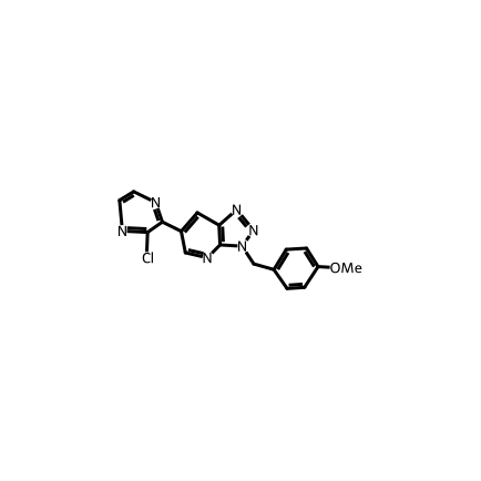 COc1ccc(Cn2nnc3cc(-c4nccnc4Cl)cnc32)cc1